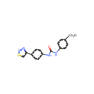 CCOC(=O)c1ccc(NC(=O)Nc2ccc(-c3csnn3)cc2)cc1